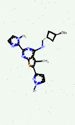 CO[C@H]1C[C@H](CNc2nc(-c3nccn3C)nc3sc(-c4ccn(C(C)C)n4)c(C)c23)C1